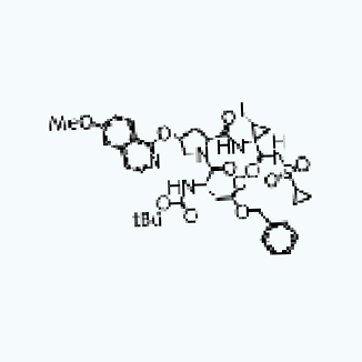 COc1ccc2c(O[C@@H]3C[C@@H](C(=O)N[C@]4(C(=O)NS(=O)(=O)C5CC5)C[C@H]4I)N(C(=O)[C@H](CC(=O)OCc4ccccc4)NC(=O)OC(C)(C)C)C3)nccc2c1